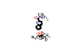 CN(C)C(=O)c1ccc2cc(B3OC(C)(C)C(C)(C)O3)ccc2n1